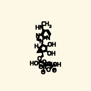 CNc1ccnc2c1ncn2[C@H]1[C@H](O)[C@H](O)[C@]2(COP(=O)(O)OP(=O)(O)OP(=O)(O)O)C[C@H]12